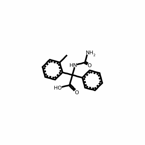 Cc1ccccc1C(NC(N)=O)(C(=O)O)c1ccccc1